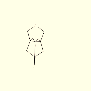 CN1CC23CNCC2(CNC3)C1.Cl.Cl.Cl